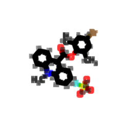 Cc1cc(Br)cc(C)c1OC(=O)c1c2ccccc2[n+](C)c2ccccc12.O=S(=O)([O-])F